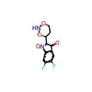 O=C1C(C2CCONO2)=[N+]([O-])c2cc(F)c(F)cc21